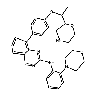 CC(Oc1ccc(-c2cccc3cnc(Nc4ccccc4N4CCOCC4)nc23)cc1)C1CNCCO1